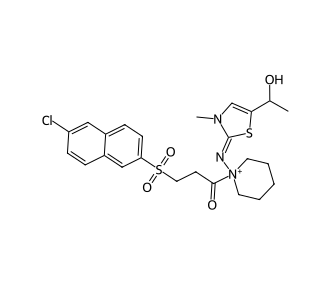 CC(O)c1cn(C)/c(=N/[N+]2(C(=O)CCS(=O)(=O)c3ccc4cc(Cl)ccc4c3)CCCCC2)s1